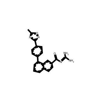 Cc1nc(-c2ccc(-c3cccc4ccc(C(=O)N=C(N)N)cc34)cc2)no1